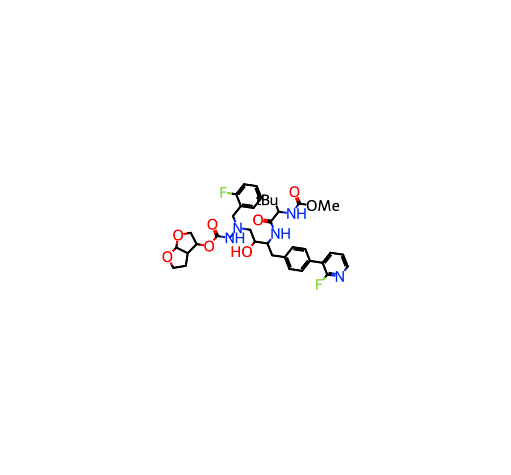 COC(=O)NC(C(=O)NC(Cc1ccc(-c2cccnc2F)cc1)C(O)CN(Cc1ccccc1F)NC(=O)OC1COC2OCCC12)C(C)(C)C